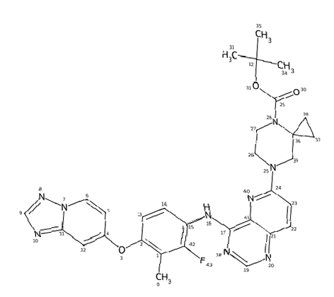 Cc1c(Oc2ccn3ncnc3c2)ccc(Nc2ncnc3ccc(N4CCN(C(=O)OC(C)(C)C)C5(CC5)C4)nc23)c1F